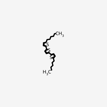 CCCCCCc1ccc(-c2ccc(-c3ccc(CCCCCC)s3)s2)s1